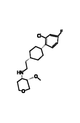 CO[C@@H]1COCC[C@@H]1NCC[C@H]1CC[C@@H](c2ccc(F)cc2Cl)CC1